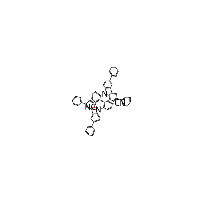 N#Cc1ccc(-n2c3ccc(-c4ccccc4)cc3c3cc(-c4ccccc4)ccc32)c(-c2c(C#N)cccc2-n2c3ccc(-c4ccccc4)cc3c3cc(-c4ccccc4)ccc32)c1